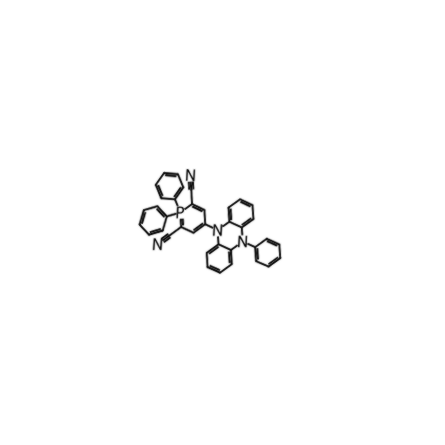 N#CC1=CC(N2c3ccccc3N(c3ccccc3)c3ccccc32)=CC(C#N)=P1(c1ccccc1)c1ccccc1